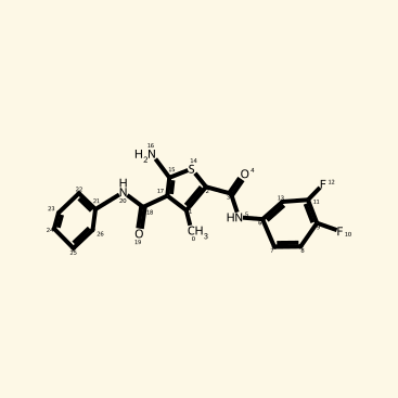 Cc1c(C(=O)Nc2ccc(F)c(F)c2)sc(N)c1C(=O)Nc1ccccc1